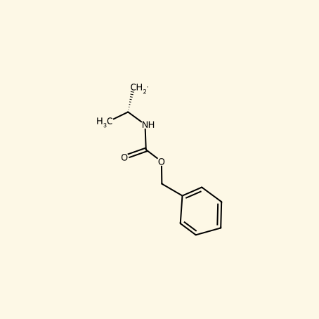 [CH2][C@@H](C)NC(=O)OCc1ccccc1